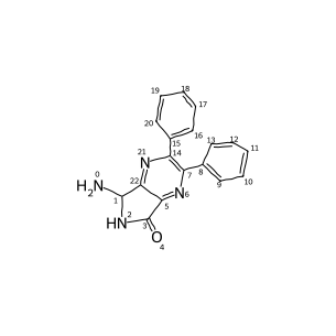 NC1NC(=O)c2nc(-c3ccccc3)c(-c3ccccc3)nc21